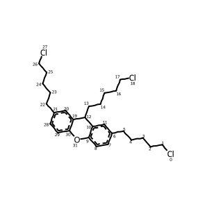 ClCCCCCc1ccc2c(c1)C(CCCCCCl)c1cc(CCCCCCl)ccc1O2